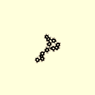 c1ccc(-c2cc3ccccc3cc2-c2ccc(N(c3ccc(-c4ccc5oc6c(-c7ccccc7)cccc6c5c4)cc3)c3ccc4ccc5ccccc5c4c3)cc2)cc1